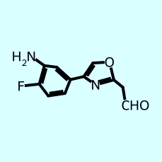 Nc1cc(-c2coc(CC=O)n2)ccc1F